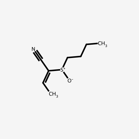 CC=C(C#N)[S+]([O-])CCCC